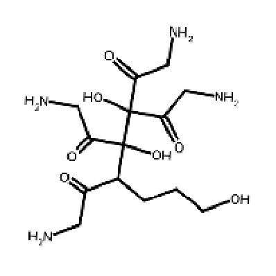 NCC(=O)C(CCCO)C(O)(C(=O)CN)C(O)(C(=O)CN)C(=O)CN